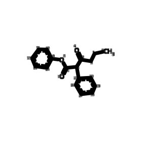 CCCC(=O)C(C(=O)Oc1ccccc1)c1ccccc1